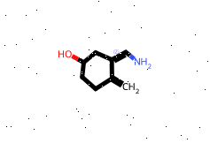 C=C1CCC(O)C/C1=C/N